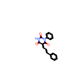 O=C1NC(=O)N(c2ccccc2)C(=O)/C1=C\C=C\c1ccccc1